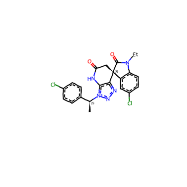 CCN1C(=O)[C@]2(CC(=O)Nc3c2nnn3[C@@H](C)c2ccc(Cl)cc2)c2cc(Cl)ccc21